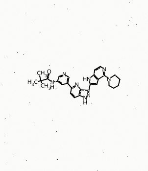 CC(C)(C)C(=O)Nc1cncc(-c2ccc3[nH]nc(-c4cc5c(N6CCCCC6)nccc5[nH]4)c3n2)c1